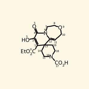 CCOC(=O)C1=C(O)C(=O)N2CCOCC=C2C12CCN(C(=O)O)CC2